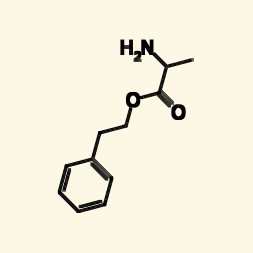 CC(N)C(=O)OCCc1ccccc1